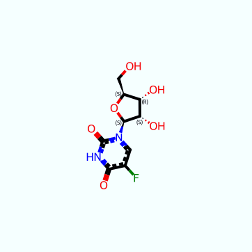 O=c1[nH]c(=O)n([C@H]2O[C@@H](CO)[C@H](O)[C@@H]2O)cc1F